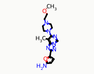 COCCN1CCN(c2ncn3nc(-c4ccc(N)o4)nc3c2C)CC1